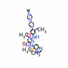 CCc1cc(Nc2ncc(Br)c(Nc3ccc4nccnc4c3P(C)C)n2)c(OC)cc1N1CCC(N2CCN(C3CC3)CC2)CC1